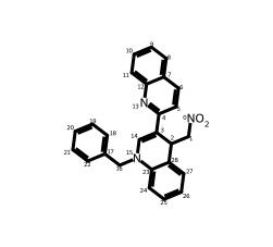 O=[N+]([O-])CC1C(c2ccc3ccccc3n2)=CN(Cc2ccccc2)c2ccccc21